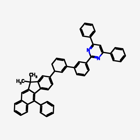 CC1(C)c2cc(C3C=C(c4cccc(-c5nc(-c6ccccc6)cc(-c6ccccc6)n5)c4)C=CC3)ccc2-c2c1cc1ccccc1c2-c1ccccc1